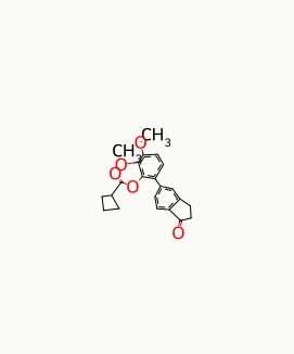 COc1ccc(-c2ccc3c(c2)CCC3=O)c(OC(=O)C2CCC2)c1OC